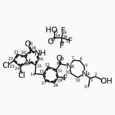 CC(CO)N1CCCN(C(=O)c2cc(Cc3c[nH]c(=O)c4cc(Cl)c(Cl)n34)ccc2F)CC1.O=C(O)C(F)(F)F